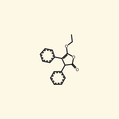 CCOC1=C(c2ccccc2)C(c2ccccc2)C(=O)O1